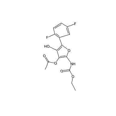 CCOC(=O)Nc1oc(-c2cc(F)ccc2F)c(O)c1OC(C)=O